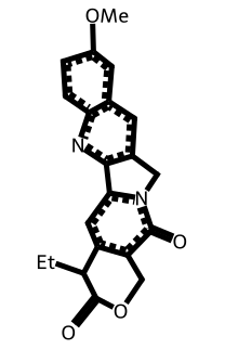 CCC1C(=O)OCc2c1cc1n(c2=O)Cc2cc3cc(OC)ccc3nc2-1